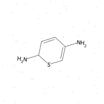 NC1=CSC(N)C=C1